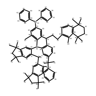 Cc1cc2c(cc1C(C)c1cc3c(cc1B1c4cc(C(C)(C)c5ccccc5)ccc4C(CCc4ccc5c(c4C)C(C)(C)CCC5(C)C)c4cc(N(c5ccccc5)c5ccccc5)cc(C)c41)C(C)(C)CC3(C)C)C(C)(C)CC2(C)C